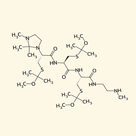 CNCCNC(=O)[C@H](CSC(C)(C)OC)NC(=O)[C@H](CSC(C)(C)OC)NC(=O)[C@H](CSC(C)(C)OC)N1CCN(C)C1(C)C